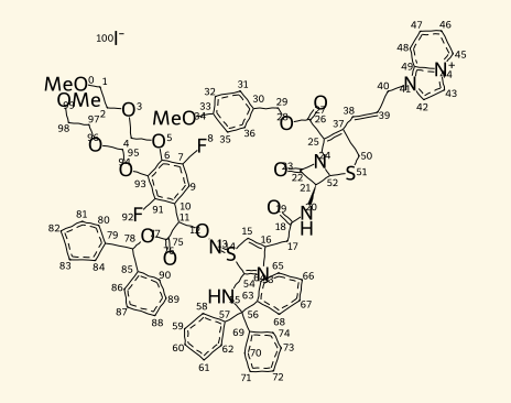 COCCOCOc1c(F)cc(C(ON=S2C=C(CC(=O)N[C@H]3C(=O)N4C(C(=O)OCc5ccc(OC)cc5)=C(C=CCn5cc[n+]6ccccc56)CSC34)N=C2NC(c2ccccc2)(c2ccccc2)c2ccccc2)C(=O)OC(c2ccccc2)c2ccccc2)c(F)c1OCOCCOC.[I-]